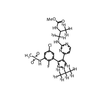 [2H]C([2H])([2H])C(NC(=O)OC)C([2H])([2H])Nc1nccc(-c2cn(C([2H])(C([2H])([2H])[2H])C([2H])([2H])[2H])nc2-c2cc(Cl)cc(NS(C)(=O)=O)c2F)n1